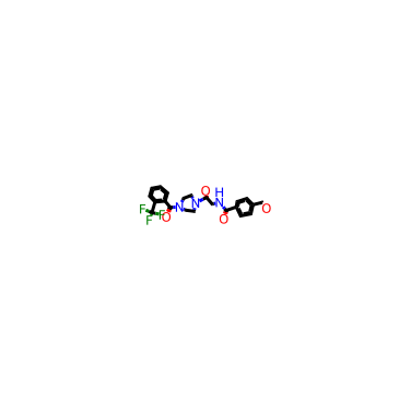 O=Cc1ccc(C(=O)NCC(=O)N2CCN(C(=O)c3ccccc3C(F)(F)F)CC2)cc1